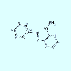 BOc1ccccc1/C=N/c1ccccc1